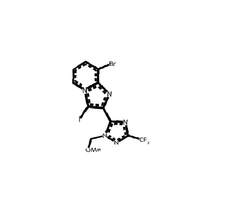 COCn1nc(C(F)(F)F)nc1-c1nc2c(Br)cccn2c1I